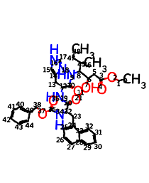 CCOC(=O)CC(O)C(NC(=O)[C@H](Cc1c[nH]cn1)NC(=O)[C@@H](Cc1cccc2ccccc12)NC(=O)OCc1ccccc1)C(C)CC